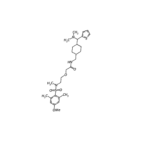 COc1cc(C)c(S(=O)(=O)N(C)CCOCC(=O)NCC2CCC(C(c3cccs3)N(C)C)CC2)c(C)c1